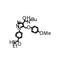 CCNC(=O)c1ccc(-n2nnc(C(=O)NC(C)CC)c2COc2ccc(OC)cc2)cc1